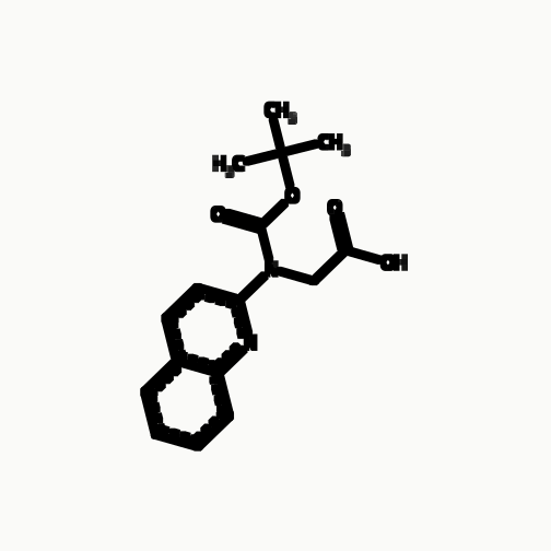 CC(C)(C)OC(=O)N(CC(=O)O)c1ccc2ccccc2n1